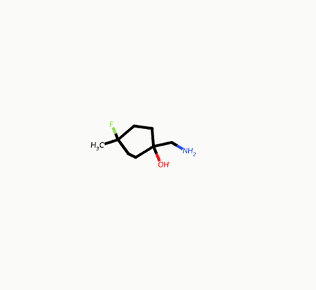 CC1(F)CCC(O)(CN)CC1